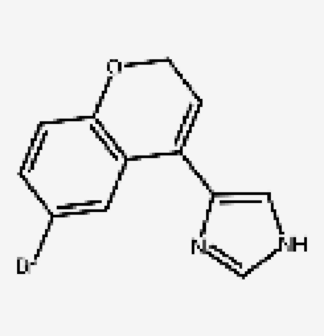 Brc1ccc2c(c1)C(c1c[nH]cn1)=CCO2